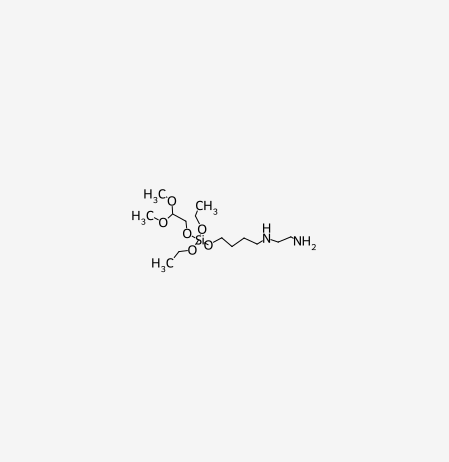 CCO[Si](OCC)(OCCCCNCCN)OCC(OC)OC